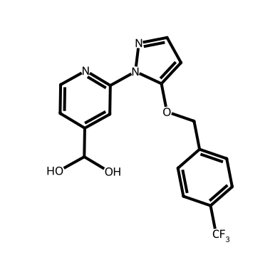 OC(O)c1ccnc(-n2nccc2OCc2ccc(C(F)(F)F)cc2)c1